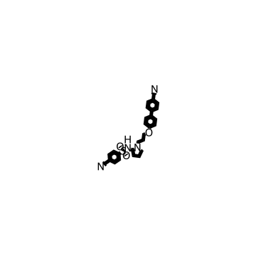 N#Cc1ccc(-c2ccc(OCCCN3CCCC3NS(=O)(=O)c3ccc(C#N)cc3)cc2)cc1